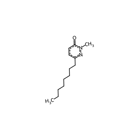 CCCCCCCCc1ccc(=O)n(C)n1